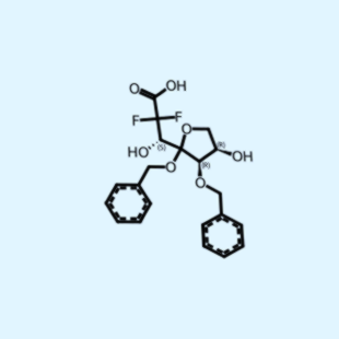 O=C(O)C(F)(F)[C@@H](O)C1(OCc2ccccc2)OC[C@@H](O)[C@H]1OCc1ccccc1